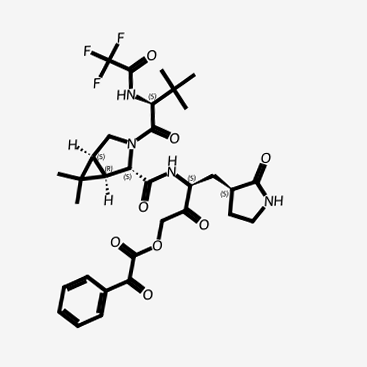 CC(C)(C)[C@H](NC(=O)C(F)(F)F)C(=O)N1C[C@H]2[C@@H]([C@H]1C(=O)N[C@@H](C[C@@H]1CCNC1=O)C(=O)COC(=O)C(=O)c1ccccc1)C2(C)C